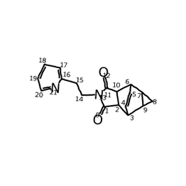 O=C1C2C3C=CC(C4CC34)C2C(=O)N1CCc1ccccn1